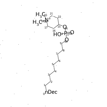 CCCCCCCCCCCCCCCCCCCOP(=O)(O)OC1CC[N+](C)(C)CC1